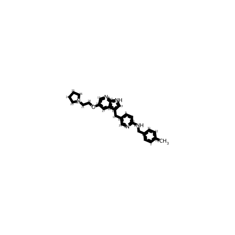 Cc1ccc(CNc2ccc(Cc3c[nH]c4ncc(OCCN5CCCC5)cc34)cn2)cc1